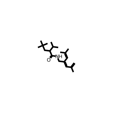 C=C(C)/C=C(\C=C(C)C)CNC(=O)C(CC(C)(C)C)C(C)C